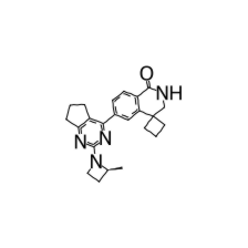 C[C@H]1CCN1c1nc2c(c(-c3ccc4c(c3)C3(CCC3)CNC4=O)n1)CCC2